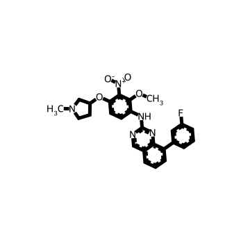 COc1c(Nc2ncc3cccc(-c4cccc(F)c4)c3n2)ccc(OC2CCN(C)C2)c1[N+](=O)[O-]